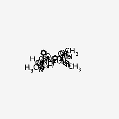 CCC(=O)N[C@@H](C(=O)N1CCN(C)CC1)[C@@H](C)c1ccc(NC(=O)[C@@H](NC(=O)c2ccnn2C(C)C)[C@@H](C)c2ccccc2)c(F)c1